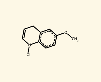 COc1ccc2c(c1)CC=CN2Cl